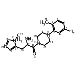 Cc1ccc(Cl)cc1N1CCN(C(=O)C(N)Cc2cncn2C)CC1